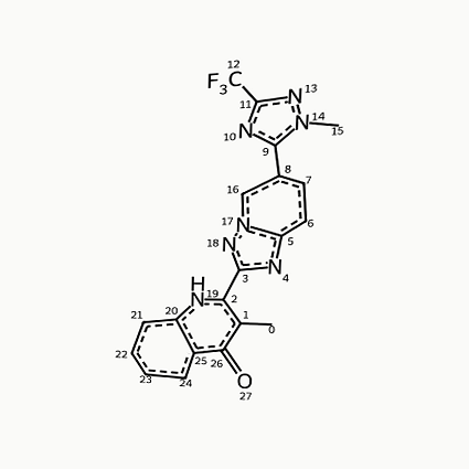 Cc1c(-c2nc3ccc(-c4nc(C(F)(F)F)nn4C)cn3n2)[nH]c2ccccc2c1=O